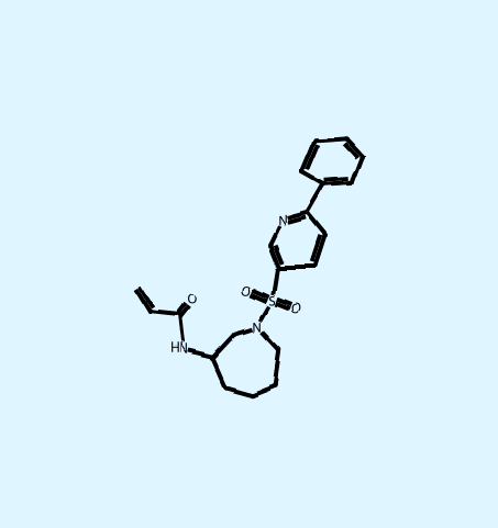 C=CC(=O)NC1CCCCN(S(=O)(=O)c2ccc(-c3ccccc3)nc2)C1